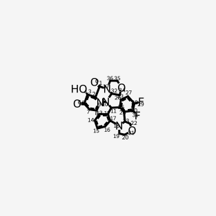 O=C1c2c(O)c(=O)ccn2N(C2c3ccccc3N3CCOCC3c3c2ccc(F)c3F)C2COCCN12